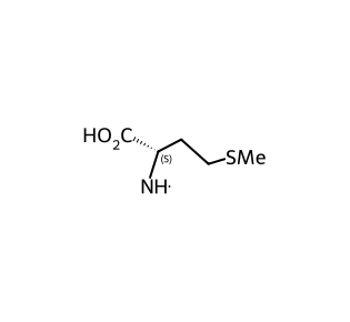 CSCC[C@H]([NH])C(=O)O